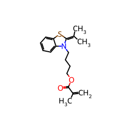 C=C(C)C(=O)OCCCCN1C(=C(C)C)Sc2ccccc21